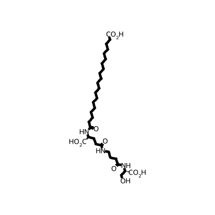 O=C(O)CCCCCCCCCCCCCCCCCCC(=O)N[C@@H](CCC(=O)NCCCC(=O)N[C@@H](CO)C(=O)O)C(=O)O